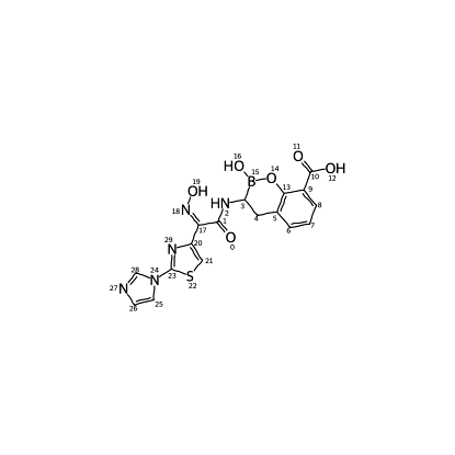 O=C(NC1Cc2cccc(C(=O)O)c2OB1O)C(=NO)c1csc(-n2ccnc2)n1